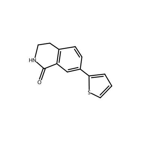 O=C1NCCc2ccc(-c3cccs3)cc21